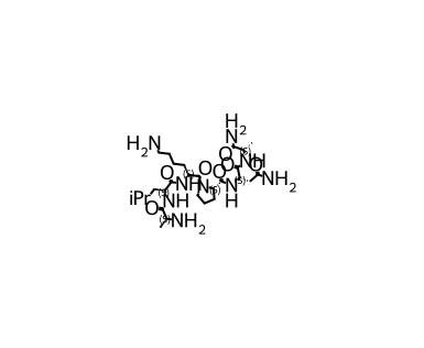 CC(C)C[C@H](NC(=O)[C@H](C)N)C(=O)N[C@@H](CCCCN)C(=O)N1CCC[C@H]1C(=O)N[C@@H](CC(N)=O)C(=O)N[C@@H](C)C(N)=O